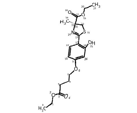 CCOC(=O)CCCOc1ccc(C2=N[C@@](C)(C(=O)OCC)CS2)c(O)c1